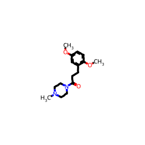 COc1ccc(OC)c(CCC(=O)N2CCN(C)CC2)c1